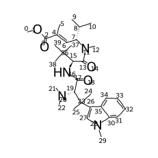 COC(=O)/C(C)=C/[C@H](C(C)C)N(C)C(=O)[C@@H](NC(=O)[C@@H](N(C)C)C(C)(C)c1cn(C)c2ccccc12)C(C)(C)C